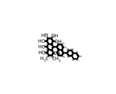 Cc1c(C)c(O)c2c(O)c3c(O)c(O)c(O)c(O)c3c(-c3cccc4c(-c5ccc6c(c5)CCC=C6)cccc34)c2c1C